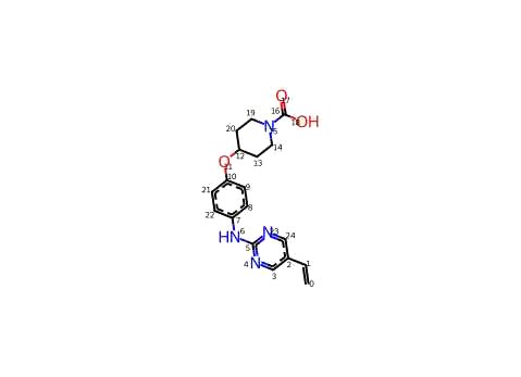 C=Cc1cnc(Nc2ccc(OC3CCN(C(=O)O)CC3)cc2)nc1